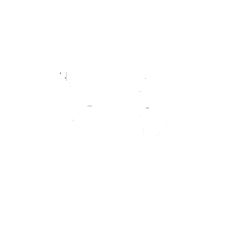 CC(C)(C)Oc1cccc(CC(C)(C)Oc2ccc(C#N)cc2)c1